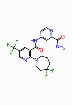 NC(=O)c1cc(NC(=O)c2cc(C(F)(F)F)cnc2N2CCCC(F)(F)CC2)ccn1